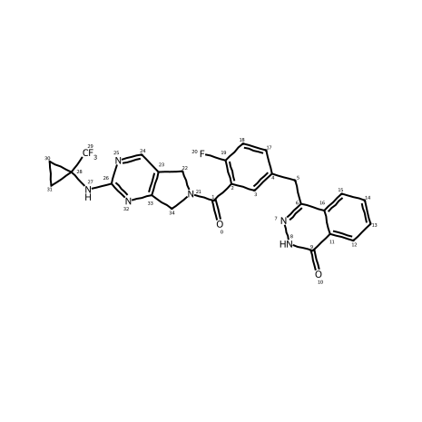 O=C(c1cc(Cc2n[nH]c(=O)c3ccccc23)ccc1F)N1Cc2cnc(NC3(C(F)(F)F)CC3)nc2C1